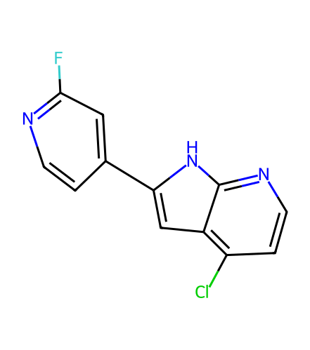 Fc1cc(-c2cc3c(Cl)ccnc3[nH]2)ccn1